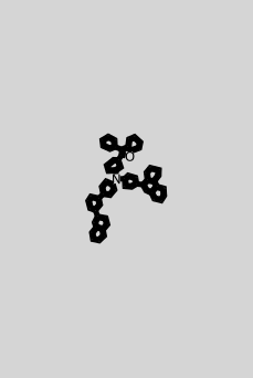 c1ccc(-c2c(-c3cccc(N(c4ccc(-c5cccc(-c6ccc7ccccc7c6)c5)cc4)c4ccc(-c5cc6ccccc6c6ccccc56)cc4)c3)oc3ccccc23)cc1